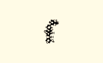 COC1COCCC1N[C@@H]1CC[C@@]2(C1)C(=O)N1CCN(c3cc(C(F)(F)F)ccn3)CC1C2(C)O